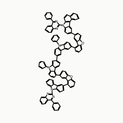 c1ccc(-c2nc(-n3c4ccccc4c4cc(-c5cccc6oc7ccc(-c8cccc9c8c8ccc(-c%10ccc%11c(c%10)c%10cc(-c%12cccc%13oc%14ccc(-c%15ccc%16c(c%15)c%15c%17ccccc%17ccc%15n%16-c%15nc(-c%16ccccc%16)c%16ccccc%16n%15)cc%14c%12%13)ccc%10n%11-c%10ccccc%10)cc8n9-c8ccccc8)cc7c56)ccc43)nc3ccccc23)cc1